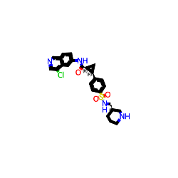 O=C(Nc1ccc2cncc(Cl)c2c1)[C@@H]1C[C@H]1c1ccc(S(=O)(=O)NC[C@H]2CCCNC2)cc1